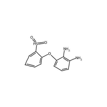 Nc1cccc(Oc2ccccc2[SH](=O)=O)c1N